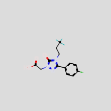 O=C(O)Cn1nc(-c2ccc(Cl)cc2)n(CCC(F)(F)F)c1=O